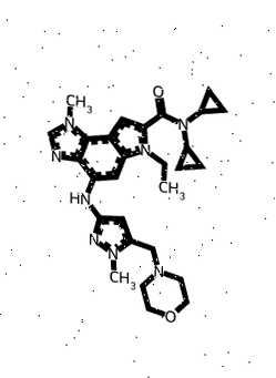 CCn1c(C(=O)N(C2CC2)C2CC2)cc2c3c(ncn3C)c(Nc3cc(CN4CCOCC4)n(C)n3)cc21